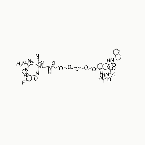 CN[C@@H](C)C(=O)N[C@H](C(=O)N1Cc2cc(OCCOCCOCCOCCOCCC(=O)NCCn3nc(C#N)c4c3CN(C)C(=O)c3ccc(F)cc3[C@H]3CCCN3c3cc-4cnc3N)ccc2C[C@H]1C(=O)N[C@@H]1CCCc2ccccc21)C(C)(C)C